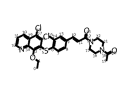 CCOc1c(Sc2ccc(/C=C/C(=O)N3CCN(C(C)=O)CC3)cc2Cl)cc(Cl)c2cccnc12